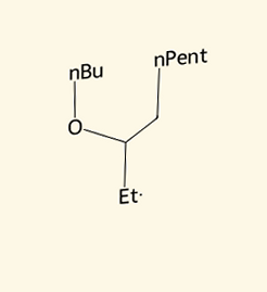 C[CH]C(CCCCCC)OCCCC